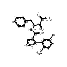 Cc1ccc(F)cc1-c1oncc1C(=O)NC(Cc1ccccc1)C(=O)C(N)=O